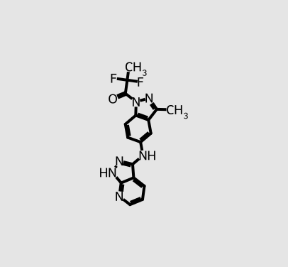 Cc1nn(C(=O)C(C)(F)F)c2ccc(Nc3n[nH]c4ncccc34)cc12